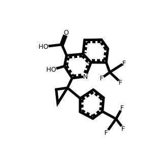 O=C(O)c1c(O)c(C2(c3ccc(C(F)(F)F)cc3)CC2)nc2c(C(F)(F)F)cccc12